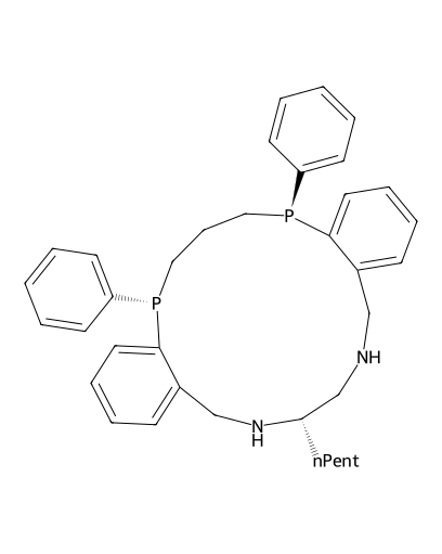 CCCCC[C@H]1CNCc2ccccc2[P@](c2ccccc2)CCC[P@@](c2ccccc2)c2ccccc2CN1